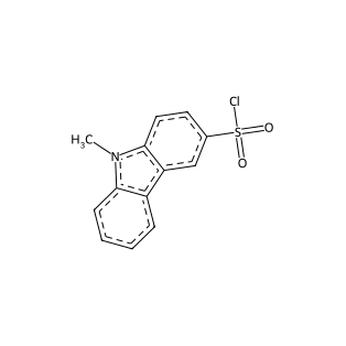 Cn1c2ccccc2c2cc(S(=O)(=O)Cl)ccc21